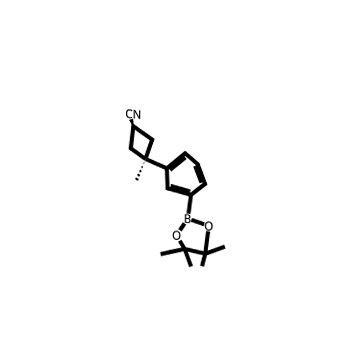 CC1(C)OB(c2cccc([C@]3(C)C[C@H](C#N)C3)c2)OC1(C)C